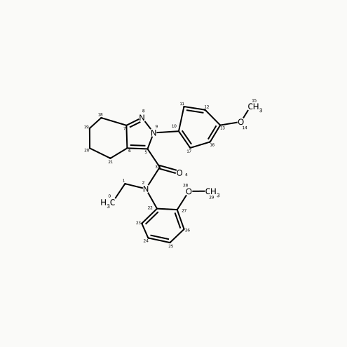 CCN(C(=O)c1c2c(nn1-c1ccc(OC)cc1)CCCC2)c1ccccc1OC